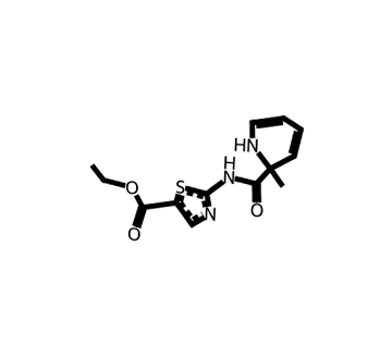 CCOC(=O)c1cnc(NC(=O)C2(C)C=CC=CN2)s1